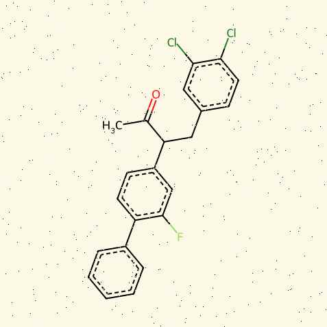 CC(=O)C(Cc1ccc(Cl)c(Cl)c1)c1ccc(-c2ccccc2)c(F)c1